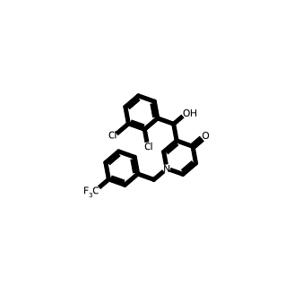 O=c1ccn(Cc2cccc(C(F)(F)F)c2)cc1C(O)c1cccc(Cl)c1Cl